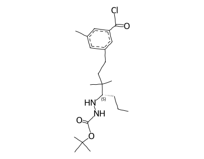 CCC[C@H](NNC(=O)OC(C)(C)C)C(C)(C)CCc1cc(C)cc(C(=O)Cl)c1